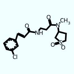 CN(C(=O)CCNC(=O)/C=C/c1cccc(Cl)c1)C1CCS(=O)(=O)C1